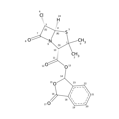 CC1(C)S[C@@H]2[C@@H](Cl)C(=O)N2[C@H]1C(=O)OC1OC(=O)c2ccccc21